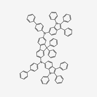 c1ccc(-c2ccc(N(c3ccc4c(c3)C(c3ccccc3)(c3ccccc3)c3cc(N(c5ccc(-c6ccccc6)cc5)c5ccc6c(-c7ccccc7)c(-c7ccccc7)n(-c7ccccc7)c6c5)ccc3-4)c3ccc4c(-c5ccccc5)c(-c5ccccc5)n(-c5ccccc5)c4c3)cc2)cc1